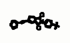 CC(C)(C)c1ccc(N2C(=O)c3ccc(C#Cc4ccccc4)cc3C2=O)cc1